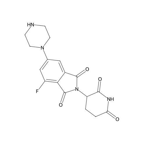 O=C1CCC(N2C(=O)c3cc(N4CCNCC4)cc(F)c3C2=O)C(=O)N1